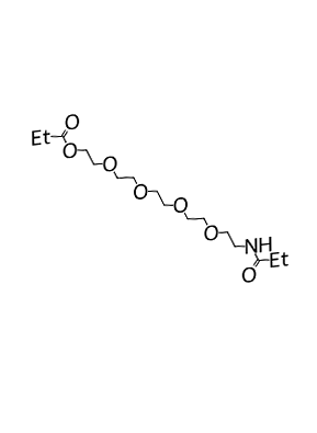 CCC(=O)NCCOCCOCCOCCOCCOC(=O)CC